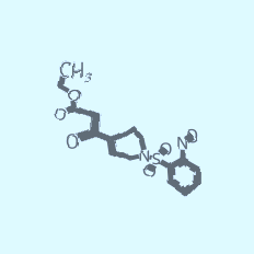 CCOC(=O)CC(=O)C1CCN(S(=O)(=O)c2ccccc2N=O)CC1